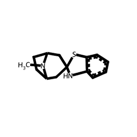 CN1C2CCC1CC1(C2)Nc2ccccc2S1